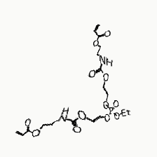 C=CC(=O)OCCNC(=O)OCCOP(=O)(OCC)OCCOC(=O)NCCOC(=O)C=C